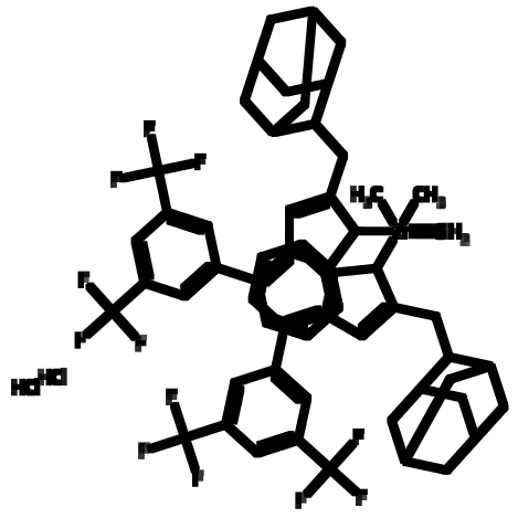 Cl.Cl.[CH3][Zr]([CH3])(=[SiH2])([CH]1C(CC2C3CC4CC(C3)CC2C4)=Cc2c(-c3cc(C(F)(F)F)cc(C(F)(F)F)c3)cccc21)[CH]1C(CC2C3CC4CC(C3)CC2C4)=Cc2c(-c3cc(C(F)(F)F)cc(C(F)(F)F)c3)cccc21